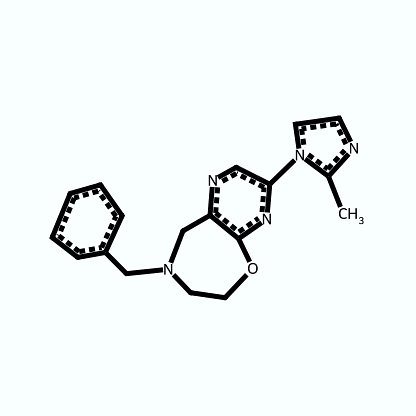 Cc1nccn1-c1cnc2c(n1)OCCN(Cc1ccccc1)C2